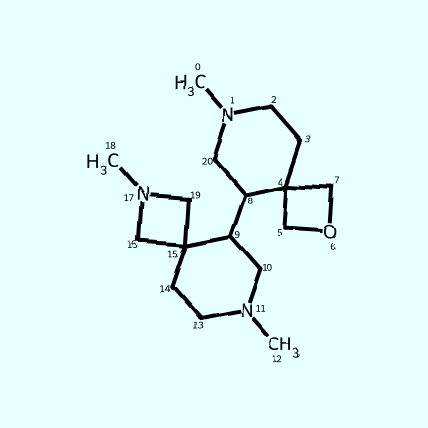 CN1CCC2(COC2)C(C2CN(C)CCC23CN(C)C3)C1